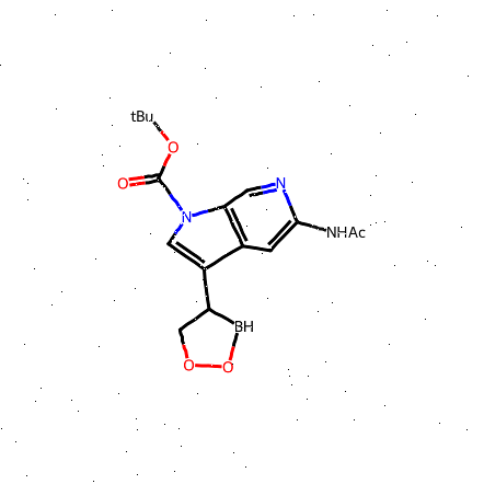 CC(=O)Nc1cc2c(C3BOOC3)cn(C(=O)OC(C)(C)C)c2cn1